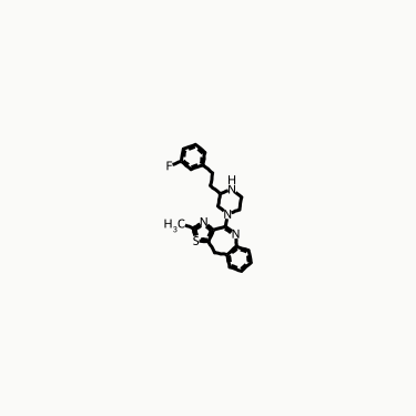 Cc1nc2c(s1)Cc1ccccc1N=C2N1CCNC(CCc2cccc(F)c2)C1